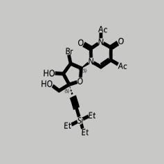 CC[Si](C#C[C@@]1(CO)O[C@H](n2cc(C(C)=O)c(=O)n(C(C)=O)c2=O)C(Br)C1O)(CC)CC